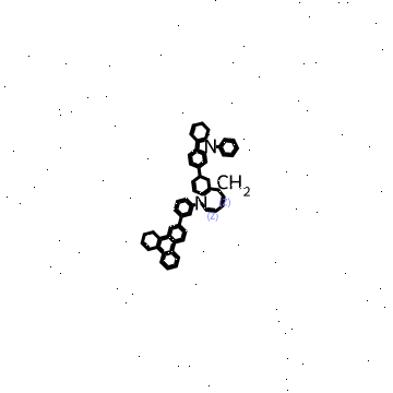 C=C1/C=C\C=C/N(c2cccc(-c3ccc4c(c3)c3c(c5ccccc54)C=CCC3)c2)C2=C1CC(c1ccc3c4c(n(-c5ccccc5)c3c1)CCC=C4)C=C2